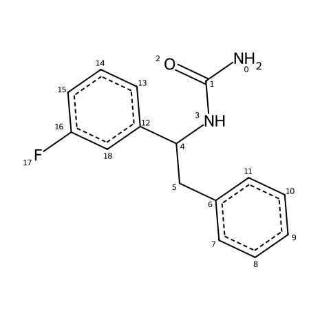 NC(=O)NC(Cc1ccccc1)c1cccc(F)c1